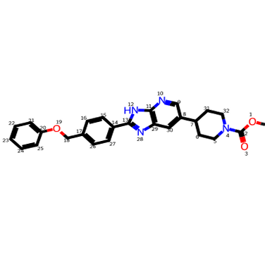 CC(C)(C)OC(=O)N1CCC(c2cnc3[nH]c(-c4ccc(COc5ccccc5)cc4)nc3c2)CC1